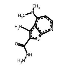 CN(C)c1ccnc2sc(C(=O)NN)c(N)c12